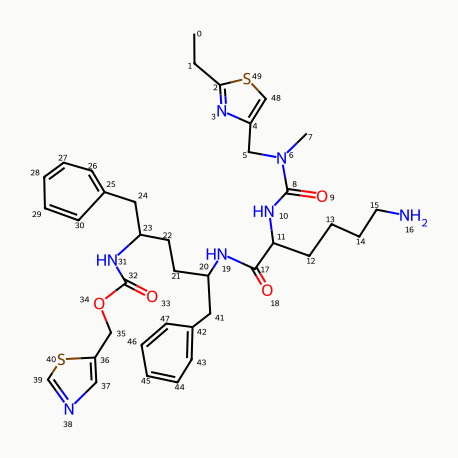 CCc1nc(CN(C)C(=O)NC(CCCCN)C(=O)NC(CCC(Cc2ccccc2)NC(=O)OCc2cncs2)Cc2ccccc2)cs1